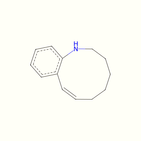 C1=C\c2ccccc2NCCCCC/1